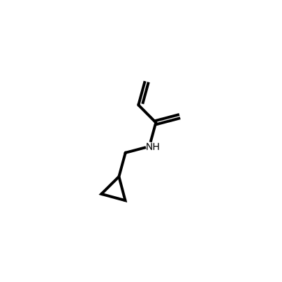 C=CC(=C)NCC1CC1